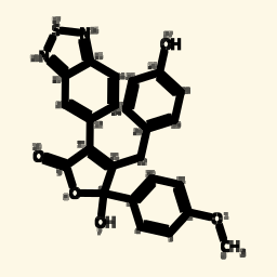 COc1ccc(C2(O)OC(=O)C(c3ccc4nsnc4c3)=C2Cc2ccc(O)cc2)cc1